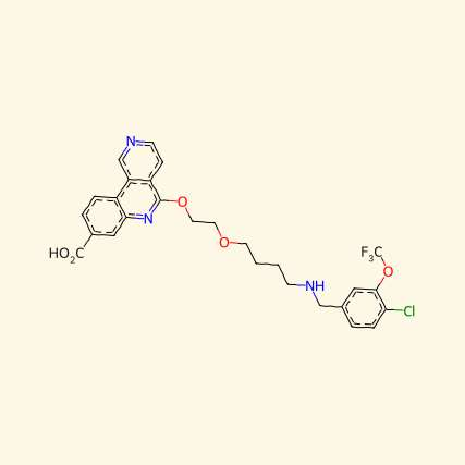 O=C(O)c1ccc2c(c1)nc(OCCOCCCCNCc1ccc(Cl)c(OC(F)(F)F)c1)c1ccncc12